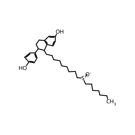 CCCCCCC[S+]([O-])CCCCCCCCCC1c2ccc(O)cc2CCC1c1ccc(O)cc1